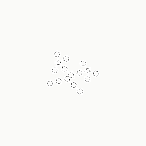 c1ccc(-c2ccc(-c3cc(-c4ccc(-c5ccccc5)cc4)c4nc(-c5ccc(-n6c(-c7ccccc7)nc(-c7ccccc7)c6-c6ccccc6)cc5)nc(-c5ccc(-n6c(-c7ccccc7)nc(-c7ccccc7)c6-c6ccccc6)cc5)c4c3)cc2)cc1